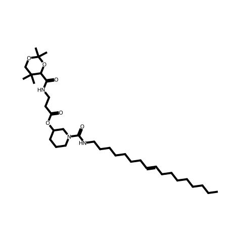 CCCCCCCCC=CCCCCCCCNC(=O)N1CCCC(OC(=O)CCNC(=O)C2OC(C)(C)OCC2(C)C)C1